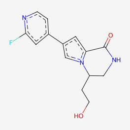 O=C1NCC(CCO)n2cc(-c3ccnc(F)c3)cc21